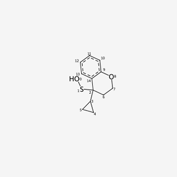 OSC1(C2CC2)CCOc2ccccc21